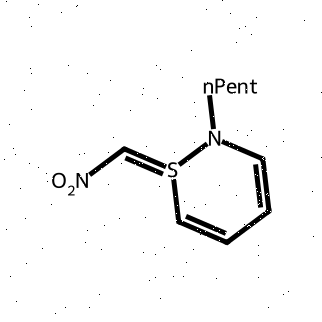 CCCCCN1C=CC=CS1=C[N+](=O)[O-]